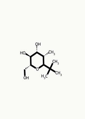 C[C@@H]1C(C(C)(C)C)O[C@H](CO)[C@@H](O)[C@@H]1O